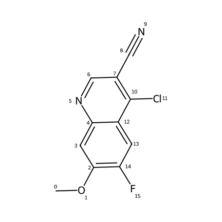 COc1cc2ncc(C#N)c(Cl)c2cc1F